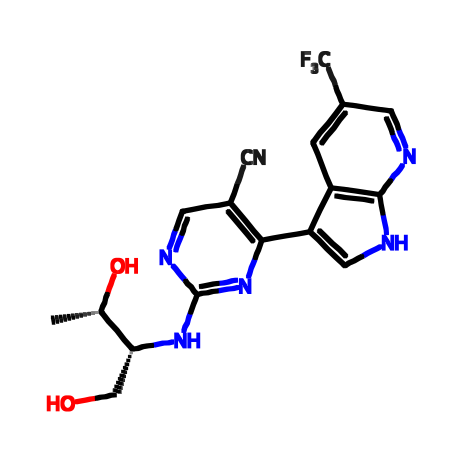 C[C@H](O)[C@@H](CO)Nc1ncc(C#N)c(-c2c[nH]c3ncc(C(F)(F)F)cc23)n1